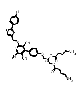 N#Cc1c(N)nc(SCc2coc(-c3ccc(Cl)cc3)n2)c(C#N)c1-c1ccc(OC[C@H](COC(=O)CCCN)OC(=O)CCCN)cc1